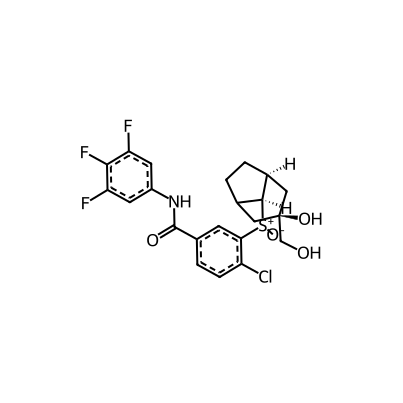 O=C(Nc1cc(F)c(F)c(F)c1)c1ccc(Cl)c([S+]([O-])[C@H]2C3CC[C@H]2C[C@](O)(CO)C3)c1